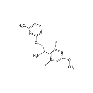 COc1cc(F)c(C(N)COc2cccc(C)n2)c(F)c1